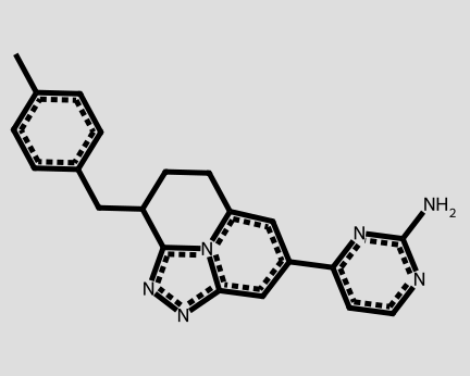 Cc1ccc(CC2CCc3cc(-c4ccnc(N)n4)cc4nnc2n34)cc1